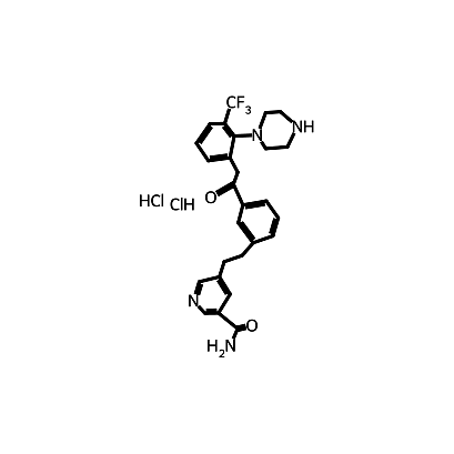 Cl.Cl.NC(=O)c1cncc(CCc2cccc(C(=O)Cc3cccc(C(F)(F)F)c3N3CCNCC3)c2)c1